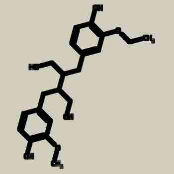 CCOc1cc(CC(CO)C(CO)Cc2ccc(O)c(OC)c2)ccc1O